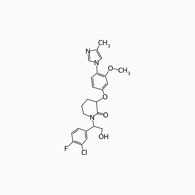 COc1cc(OC2CCCN(C(CO)c3ccc(F)c(Cl)c3)C2=O)ccc1-n1cnc(C)c1